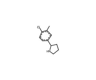 Cc1cc(C2CCCN2)ccc1Cl